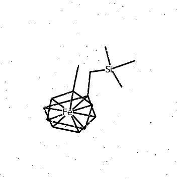 C[C]12[CH]3[CH]4[CH]5[CH]1[Fe]45321678[CH]2[CH]1[CH]6[C]7(C[Si](C)(C)C)[CH]28